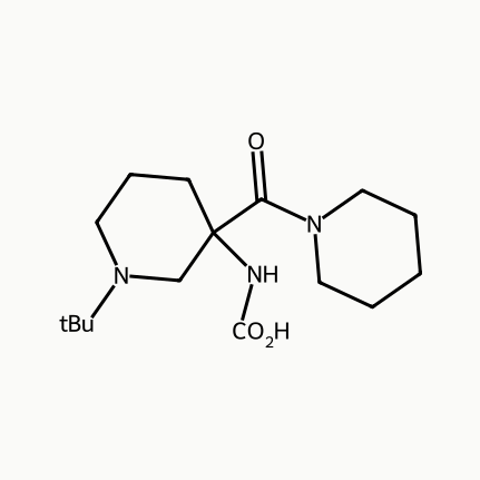 CC(C)(C)N1CCCC(NC(=O)O)(C(=O)N2CCCCC2)C1